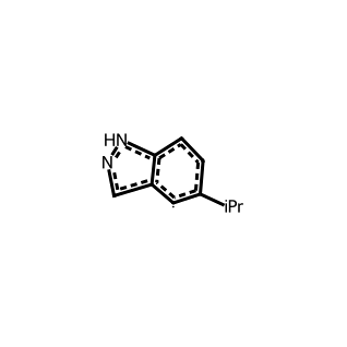 CC(C)c1[c]c2cn[nH]c2cc1